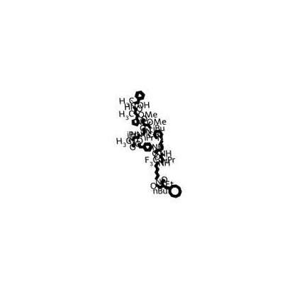 CCCCC(CC)(C1CCCCCCCC1)C1CC(=O)N(CCCCC[C@@H](N[C@H](C(=O)NC(CCCN2CCCCC2)C(=O)Nc2ccc(COC(=O)N(C)[C@H](C(=O)N[C@H](C(=O)N(C)[C@@H]([C@@H](C)CC)[C@@H](CC(=O)N3CCC[C@H]3[C@H](OC)[C@@H](C)C(=O)N[C@H](C)[C@@H](O)c3ccccc3)OC)C(C)C)C(C)C)cc2)C(C)C)C(F)(F)F)C1=O